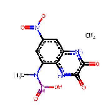 C.CN(c1cc([N+](=O)[O-])cc2[nH]c(=O)c(=O)[nH]c12)[PH](=O)O